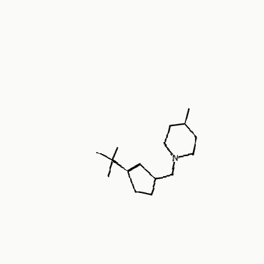 CC1CCN(CC2CC[C@@H](C(C)(C)C)C2)CC1